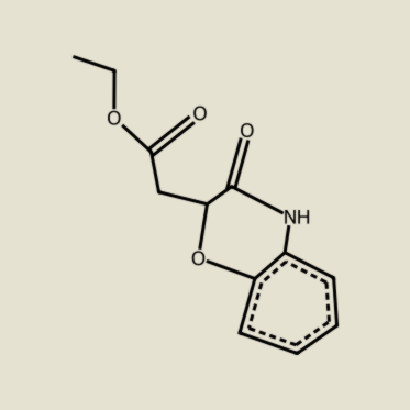 CCOC(=O)CC1Oc2ccccc2NC1=O